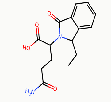 CCC1c2ccccc2C(=O)N1C(CCC(N)=O)C(=O)O